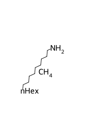 C.CCCCCCCCCCCCCCCN